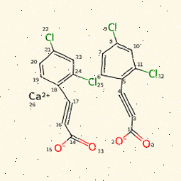 O=C([O-])C#Cc1ccc(Cl)cc1Cl.O=C([O-])C#Cc1ccc(Cl)cc1Cl.[Ca+2]